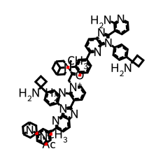 CC(=O)N(C)C1CC2CC(C1)N2c1cccc(-c2ccc3nc(-c4ccc[n+](CC(=O)N(C)C5C6CC5CN(c5cccc(-c7ccc8nc(-c9cccnc9N)n(-c9ccc(C%10(N)CCC%10)cc9)c8n7)c5)C6)c4N)n(-c4ccc(C5(N)CCC5)cc4)c3n2)c1